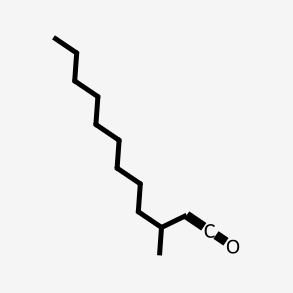 CCCCCCCCCC(C)C=C=O